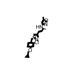 Cc1cc(N[C@@H](C)/C=C/c2cnn(Cc3ccc(OCC4CC4)cc3Cl)c2)no1